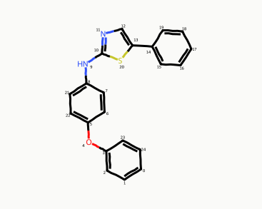 c1ccc(Oc2ccc(Nc3ncc(-c4ccccc4)s3)cc2)cc1